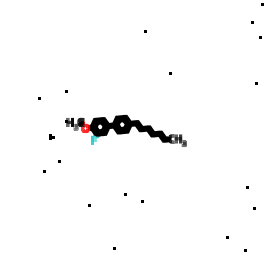 CCCCCCCc1ccc(-c2ccc(OC)c(F)c2)cc1